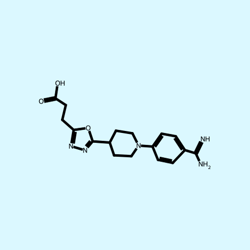 N=C(N)c1ccc(N2CCC(c3nnc(CCC(=O)O)o3)CC2)cc1